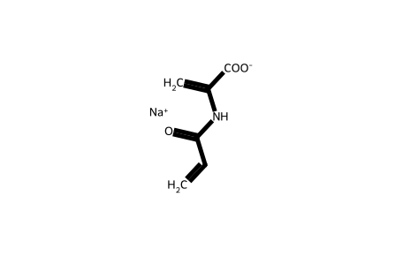 C=CC(=O)NC(=C)C(=O)[O-].[Na+]